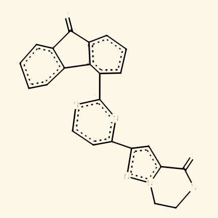 O=C1c2ccccc2-c2c1cccc2-c1nccc(-c2cc3n(n2)CCNC3=O)n1